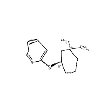 C[C@@]1(C(=O)O)CCC[C@@H](Sc2ccccn2)C1